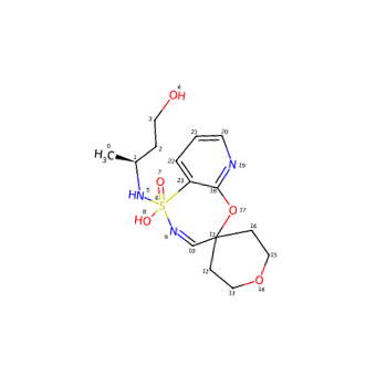 C[C@@H](CCO)NS1(=O)(O)N=CC2(CCOCC2)Oc2ncccc21